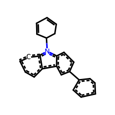 C1=CCC(n2c3ccccc3c3cc(-c4ccccc4)ccc32)C=C1